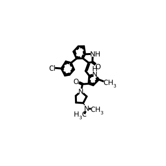 Cc1cc(C(=O)N2CC[C@@H](N(C)C)C2)c(/C=C2\C(=O)Nc3cccc(-c4cccc(Cl)c4)c32)[nH]1